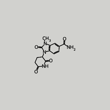 Cn1c(=O)n(C2CCC(=O)NC2=O)c2ccc(C(N)=O)cc21